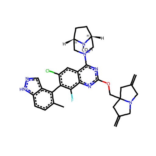 C=C1CN2CC(=C)CC2(COc2nc(N3C[C@H]4CC[C@@H](C3)N4C(=O)O)c3cc(Cl)c(-c4c(C)ccc5[nH]ncc45)c(F)c3n2)C1